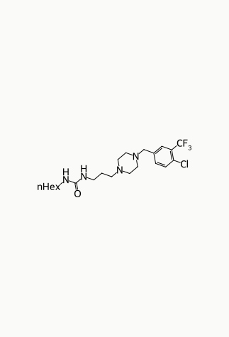 CCCCCCNC(=O)NCCCN1CCN(Cc2ccc(Cl)c(C(F)(F)F)c2)CC1